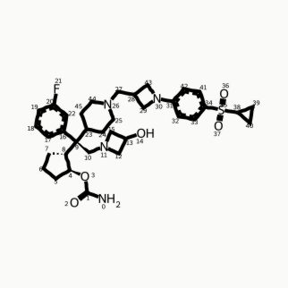 NC(=O)O[C@H]1CCC[C@@H]1[C@](CN1CC(O)C1)(c1cccc(F)c1)C1CCN(CC2CN(c3ccc(S(=O)(=O)C4CC4)cc3)C2)CC1